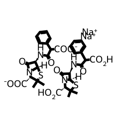 CC1(C)S[C@@H]2[C@H](NC(=O)C(C(=O)O)c3ccccc3)C(=O)N2[C@H]1C(=O)O.CC1(C)S[C@@H]2[C@H](NC(=O)C(C(=O)[O-])c3ccccc3)C(=O)N2[C@H]1C(=O)[O-].[Na+].[Na+]